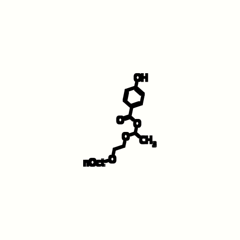 CCCCCCCCOCCOC(C)OC(=O)c1ccc(O)cc1